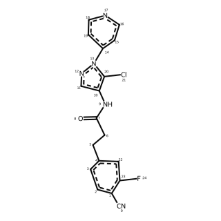 N#Cc1ccc(CCC(=O)Nc2cnn(-c3ccncc3)c2Cl)cc1F